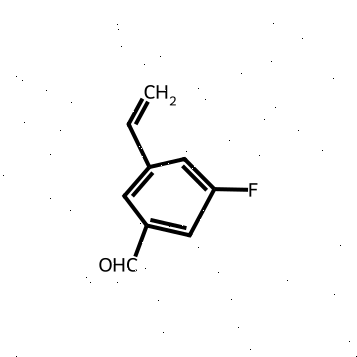 C=Cc1cc(F)cc(C=O)c1